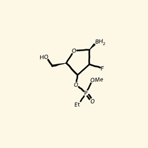 B[C@@H]1O[C@H](CO)C(OP(=O)(CC)OC)C1F